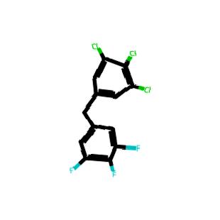 Fc1cc(Cc2cc(Cl)c(Cl)c(Cl)c2)cc(F)c1F